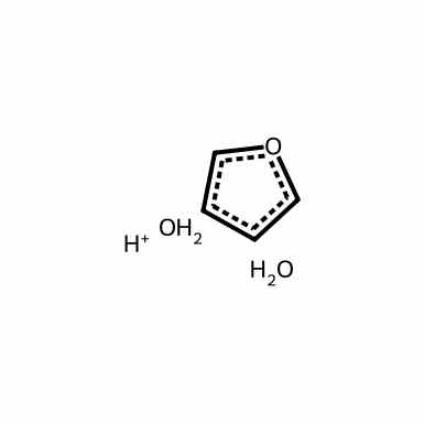 O.O.[H+].c1ccoc1